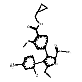 CCc1[nH]c(C(N)=O)c(-c2ccc(C(=O)NCC3CC3)c(OC)c2)c1-c1ccc(N)cc1Cl